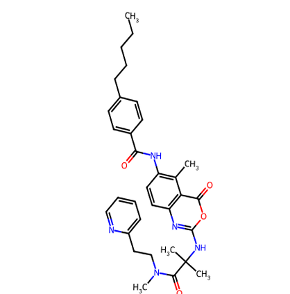 CCCCCc1ccc(C(=O)Nc2ccc3nc(NC(C)(C)C(=O)N(C)CCc4ccccn4)oc(=O)c3c2C)cc1